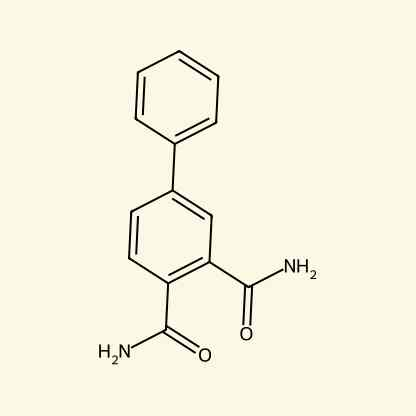 NC(=O)c1ccc(-c2ccccc2)cc1C(N)=O